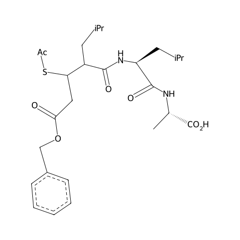 CC(=O)SC(CC(=O)OCc1ccccc1)C(CC(C)C)C(=O)N[C@@H](CC(C)C)C(=O)N[C@@H](C)C(=O)O